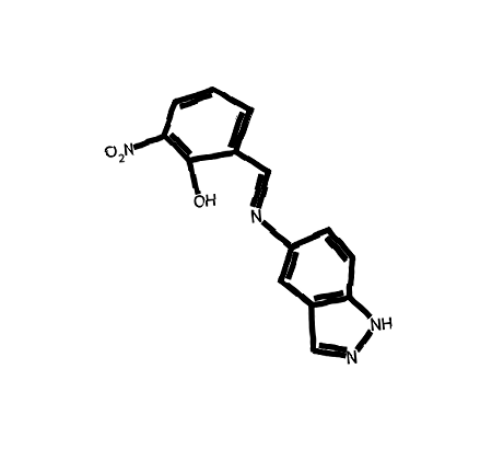 O=[N+]([O-])c1cccc(C=Nc2ccc3[nH]ncc3c2)c1O